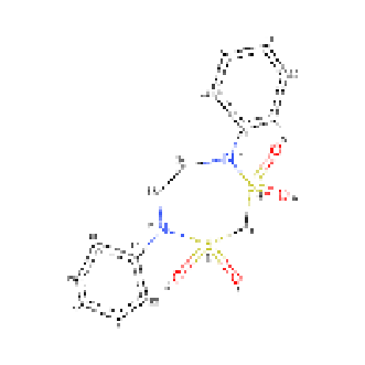 O=S1(=O)CS(=O)(=O)N(c2ccccc2)CCN1c1ccccc1